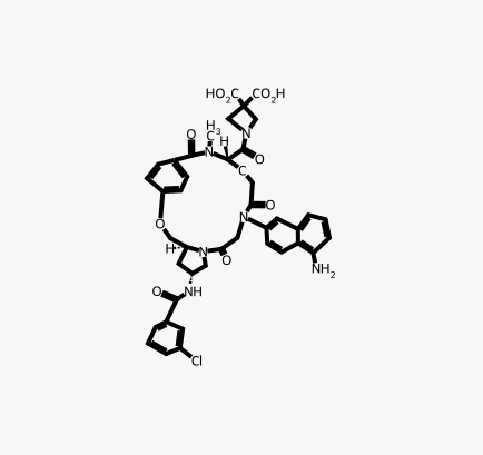 CN1C(=O)c2ccc(cc2)OC[C@@H]2C[C@@H](NC(=O)c3cccc(Cl)c3)CN2C(=O)CN(c2ccc3c(N)cccc3c2)C(=O)CC[C@H]1C(=O)N1CC(C(=O)O)(C(=O)O)C1